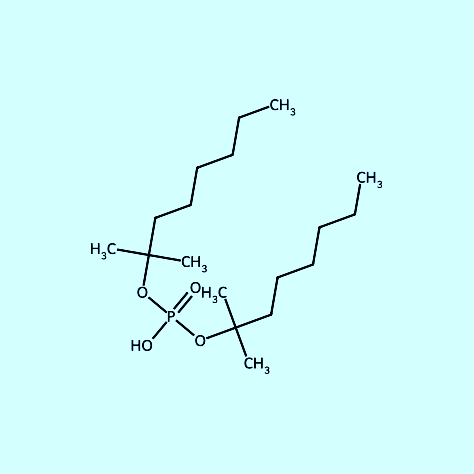 CCCCCCC(C)(C)OP(=O)(O)OC(C)(C)CCCCCC